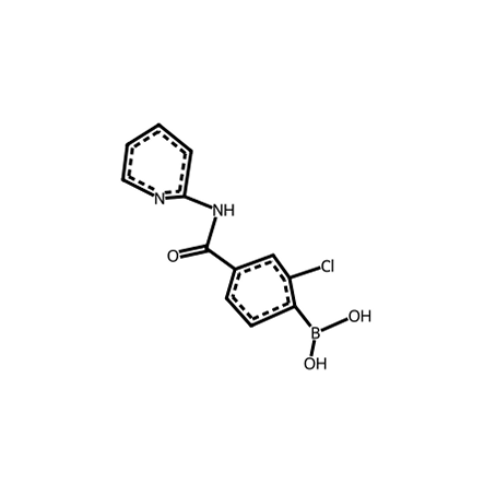 O=C(Nc1ccccn1)c1ccc(B(O)O)c(Cl)c1